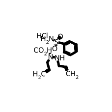 C=CCNN(CC=C)C(=O)O.Cl.NS(=O)(=O)c1ccccc1